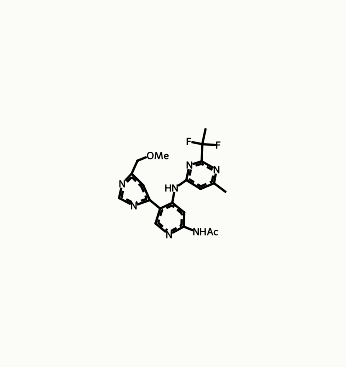 COCc1cc(-c2cnc(NC(C)=O)cc2Nc2cc(C)nc(C(C)(F)F)n2)ncn1